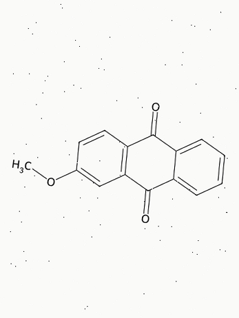 COc1ccc2c(c1)C(=O)c1ccccc1C2=O